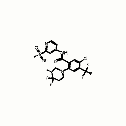 C[C@H]1CN(c2cc(C(F)(F)F)c(Cl)cc2C(=O)Nc2ccnc([S@](C)(=N)=O)c2)CCC1(F)F